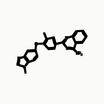 Cc1cc(-c2nc(N)c3ccccc3n2)ccc1Oc1ccc2c(c1)ncn2C